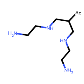 CC(=O)C(CNCCN)CNCCN